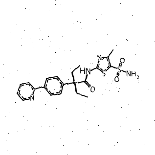 CCC(CC)(C(=O)Nc1nc(C)c(S(N)(=O)=O)s1)c1ccc(-c2ccccn2)cc1